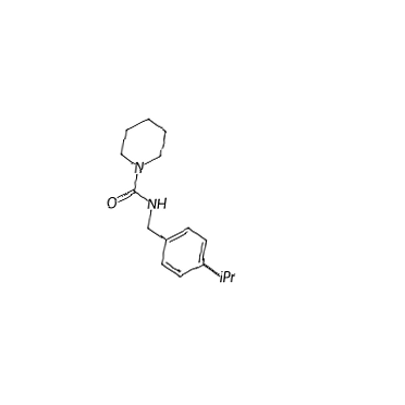 CC(C)c1ccc(CNC(=O)N2CCCCC2)cc1